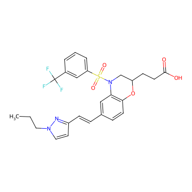 CCCn1ccc(C=Cc2ccc3c(c2)N(S(=O)(=O)c2cccc(C(F)(F)F)c2)CC(CCC(=O)O)O3)n1